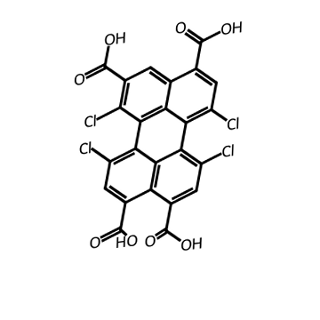 O=C(O)c1cc2c(C(=O)O)cc(Cl)c3c4c(Cl)cc(C(=O)O)c5c(C(=O)O)cc(Cl)c(c(c1Cl)c23)c54